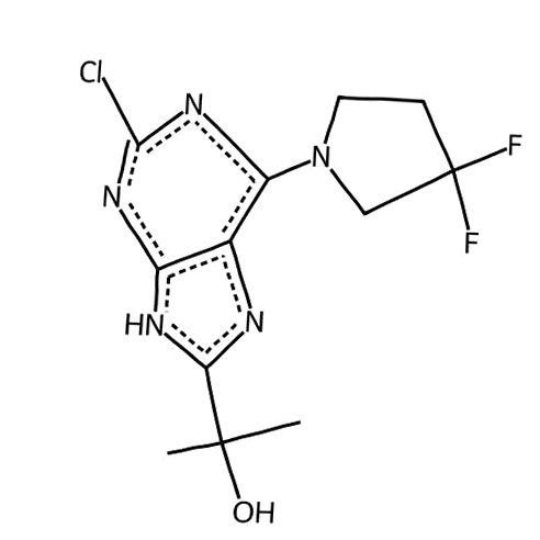 CC(C)(O)c1nc2c(N3CCC(F)(F)C3)nc(Cl)nc2[nH]1